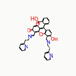 O=C(O)c1ccccc1-c1c2ccc(=O)c(/C=N/CCc3ccccn3)c-2oc2c(/C=N/CCc3ccccn3)c(O)ccc12